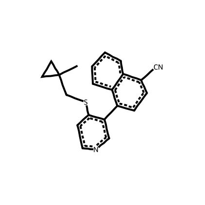 CC1(CSc2ccncc2-c2ccc(C#N)c3ccccc23)CC1